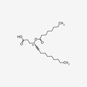 CCCCCCCCC#C[C@@H](CCC(=O)O)OC(=O)CCCCCCC